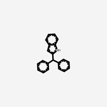 [c]1cccc2[nH]c(C(c3ccccc3)c3ccccc3)cc12